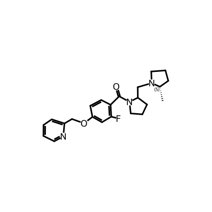 C[C@H]1CCCN1CC1CCCN1C(=O)c1ccc(OCc2ccccn2)cc1F